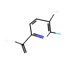 C=C(NC)c1ccc(NC)c(F)n1